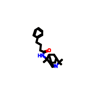 CC1(NC(=O)CCCc2ccccc2)C2CC3CC1CN(C2)C3(C)C